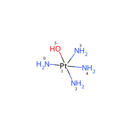 [NH2][Pt]([NH2])([NH2])([NH2])[OH]